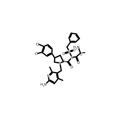 Cc1cc(N)nc(C)c1CN1CC(c2ccc(Cl)c(Cl)c2)C[C@H]1C(=O)N(C(=O)[C@H](C)N)S(=O)(=O)Cc1ccccc1